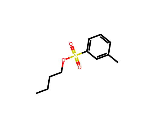 CCCCOS(=O)(=O)c1cccc(C)c1